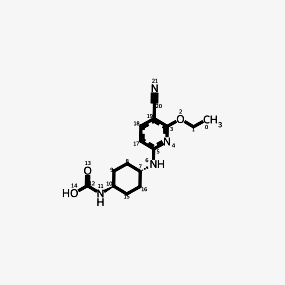 CCOc1nc(N[C@H]2CC[C@H](NC(=O)O)CC2)ccc1C#N